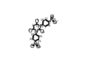 O=C1CC(=O)N(c2ccc([N+](=O)[O-])cc2)C(=O)N1c1ccc([N+](=O)[O-])cc1